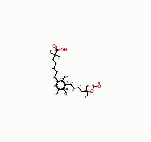 Cc1cc(CCCCCC(C)(C)C(=O)O)c(C)c(CCCCC(C)(C)OC=O)c1C